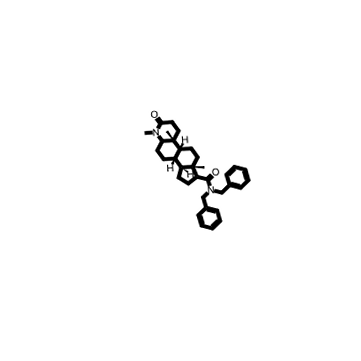 CN1C(=O)CC[C@@]2(C)C1CC[C@@H]1[C@H]2CC[C@]2(C)C(C(=O)N(Cc3ccccc3)Cc3ccccc3)CC[C@@H]12